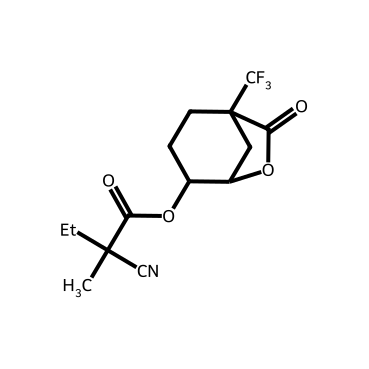 CCC(C)(C#N)C(=O)OC1CCC2(C(F)(F)F)CC1OC2=O